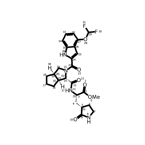 COC(=O)[C@H](C[C@@H]1CCNC1=O)NC(=O)[C@@H]1[C@H]2CCC[C@H]2CN1C(=O)c1cc2c(OC(F)F)cccc2[nH]1